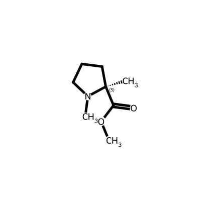 COC(=O)[C@]1(C)CCCN1C